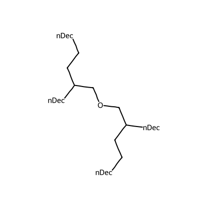 CCCCCCCCCCCCC(CCCCCCCCCC)COCC(CCCCCCCCCC)CCCCCCCCCCCC